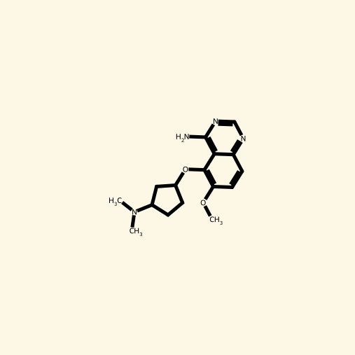 COc1ccc2ncnc(N)c2c1OC1CCC(N(C)C)C1